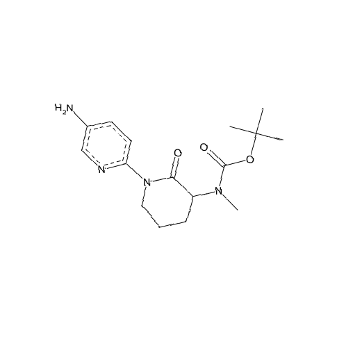 CN(C(=O)OC(C)(C)C)C1CCCN(c2ccc(N)cn2)C1=O